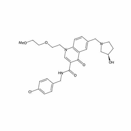 COCCOCCn1cc(C(=O)NCc2ccc(Cl)cc2)c(=O)c2cc(CN3CC[C@@H](O)C3)ccc21